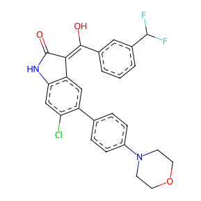 O=C1Nc2cc(Cl)c(-c3ccc(N4CCOCC4)cc3)cc2/C1=C(/O)c1cccc(C(F)F)c1